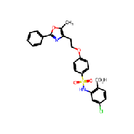 Cc1oc(-c2ccccc2)nc1CCOc1ccc(S(=O)(=O)Nc2cc(Cl)ccc2C(=O)O)cc1